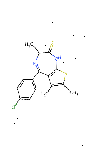 Cc1sc2c(c1C)C(c1ccc(Cl)cc1)=NC(C)C(=S)N2